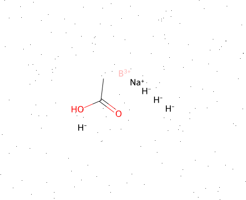 CC(=O)O.[B+3].[H-].[H-].[H-].[H-].[Na+]